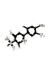 Cc1cc(C(C)(C)C)c(C(F)(F)F)cc1-c1cc(=O)c(S(C)(=N)=O)c(C)[nH]1